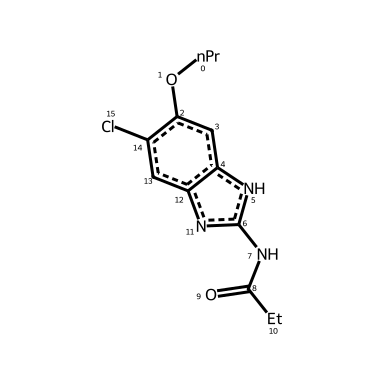 CCCOc1cc2[nH]c(NC(=O)CC)nc2cc1Cl